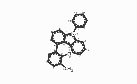 Cc1cccc(-c2cccc3c2c2ccccc2n3-c2ccccc2)c1C